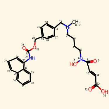 CN(CCCCN(O)C(=O)/C=C/C(=O)O)Cc1ccc(COC(=O)Nc2cccc3ccccc23)cc1